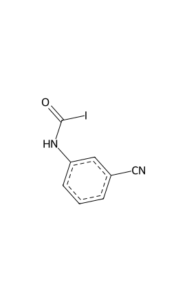 N#Cc1cccc(NC(=O)I)c1